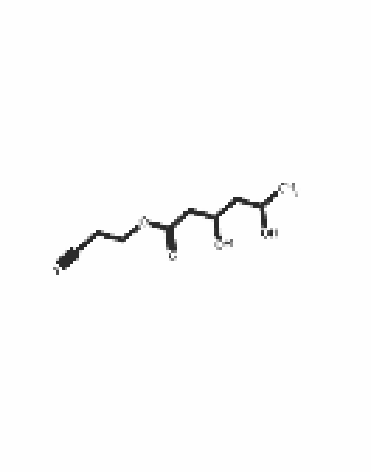 CC(O)CC(O)CC(=O)OCCC#N